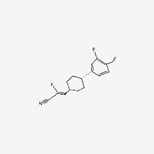 N#CC(F)=C[C@H]1CC[C@H](c2ccc(F)c(F)c2)CC1